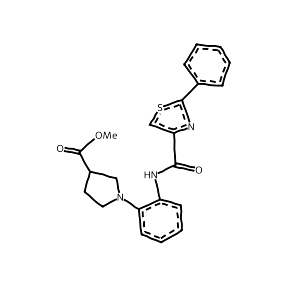 COC(=O)C1CCN(c2ccccc2NC(=O)c2csc(-c3ccccc3)n2)C1